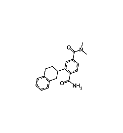 CN(C)C(=O)c1ccc(C(N)=O)c(C2CCc3ccccc3C2)c1